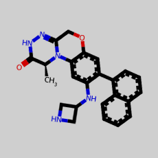 C[C@H]1C(=O)NN=C2COc3cc(-c4cccc5ccccc45)c(NC4CNC4)cc3N21